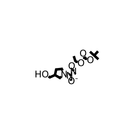 CC(O/N=[N+](/[O-])N1CCC(CO)C1)OC(=O)OC(C)(C)C